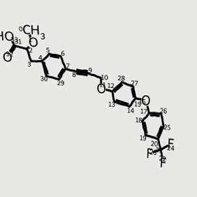 COC(Cc1ccc(C#CCOc2ccc(Oc3ccc(C(F)(F)F)cc3)cc2)cc1)C(=O)O